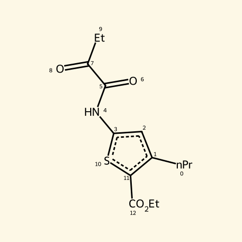 CCCc1cc(NC(=O)C(=O)CC)sc1C(=O)OCC